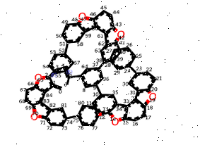 C=c1/c(=C\C=C(/C)c2cc(-c3ccc4oc5ccc6oc7ccc(-c8ccccc8)cc7c6c5c4c3)cc(-c3ccc4oc5ccc6oc7ccc(-c8ccccc8)cc7c6c5c4c3)c2)oc2ccc3oc4ccc(-c5ccccc5)cc4c3c12